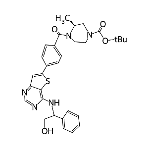 C[C@H]1CN(C(=O)OC(C)(C)C)CCN1C(=O)c1ccc(-c2cc3ncnc(NC(CO)c4ccccc4)c3s2)cc1